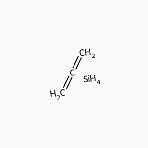 C=C=C.[SiH4]